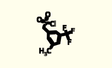 Cc1cc(CS(=O)(=O)Cl)cc(C(F)(F)F)c1